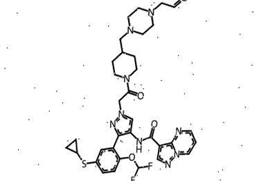 O=CCN1CCN(CC2CCN(C(=O)Cn3cc(NC(=O)c4cnn5cccnc45)c(-c4cc(SC5CC5)ccc4OC(F)F)n3)CC2)CC1